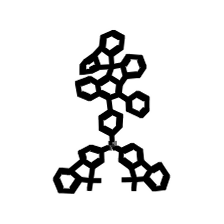 CC1(C)c2ccccc2-c2ccc(N(c3ccc(-c4c(-c5ccccc5)c5c(c6ccccc46)C4(c6ccccc6-c6ccccc64)c4ccccc4-5)cc3)c3ccc4c(c3)C(C)(C)c3ccccc3-4)cc21